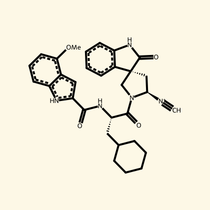 C#[N+][C@@H]1C[C@@]2(CN1C(=O)[C@H](CC1CCCCC1)NC(=O)c1cc3c(OC)cccc3[nH]1)C(=O)Nc1ccccc12